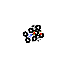 C[Si]1(C)c2ccccc2C2(c3ccccc31)c1cc(-n3c4ccccc4c4ccccc43)sc1C1(c3ccccc3[Si](C)(C)c3ccccc31)c1ccsc12